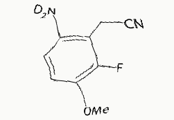 COc1ccc([N+](=O)[O-])c(CC#N)c1F